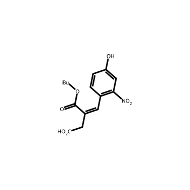 CCC(C)OC(=O)C(=Cc1ccc(O)cc1[N+](=O)[O-])CC(=O)O